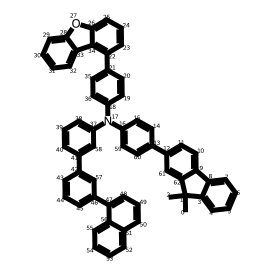 CC1(C)c2ccccc2-c2ccc(-c3ccc(N(c4ccc(-c5cccc6oc7ccccc7c56)cc4)c4cccc(-c5cccc(-c6cccc7ccccc67)c5)c4)cc3)cc21